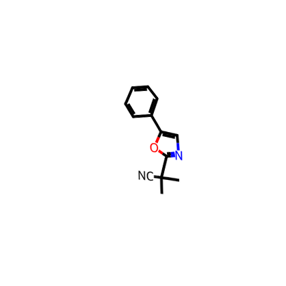 CC(C)(C#N)c1ncc(-c2ccccc2)o1